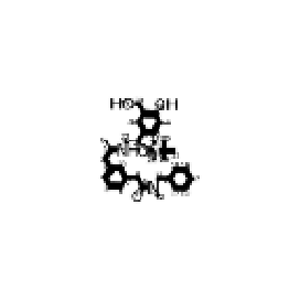 C[C@H](Cc1cccc(CC(=O)N(C)CC2CCCCC2)c1)NC[C@@H](O[Si](C)(C)C(C)(C)C)c1ccc(O)c(CO)c1